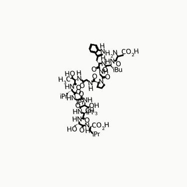 CC[C@H](C)[C@H](NC(=O)[C@@H](N)CC(=O)O)C(=O)N[C@@H](Cc1c[nH]c2ccccc12)C(=O)NCC(=O)N1CCC[C@H]1C(=O)NCC(=O)N[C@H](C(=O)N[C@@H](CC(C)C)C(=O)N[C@H](C(=O)N[C@H](C(=O)N[C@H](C(=O)N[C@@H](CO)C(=O)N[C@@H](CC(C)C)C(=O)O)C(C)C)[C@@H](C)O)C(C)C)[C@@H](C)O